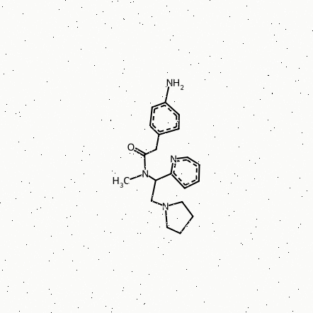 CN(C(=O)Cc1ccc(N)cc1)C(CN1CCCC1)c1ccccn1